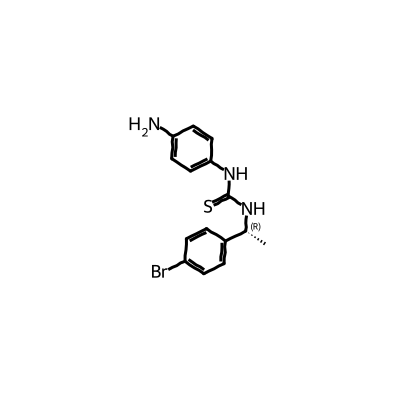 C[C@@H](NC(=S)Nc1ccc(N)cc1)c1ccc(Br)cc1